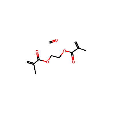 C=C(C)C(=O)OCCOC(=O)C(=C)C.C=O